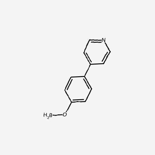 BOc1ccc(-c2ccncc2)cc1